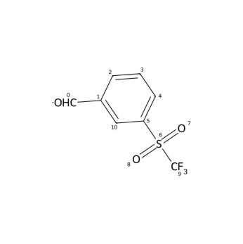 O=[C]c1cccc(S(=O)(=O)C(F)(F)F)c1